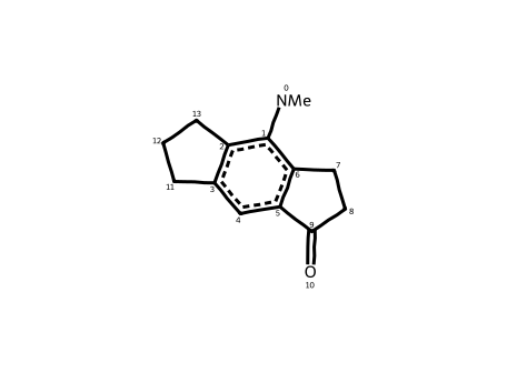 CNc1c2c(cc3c1CCC3=O)CCC2